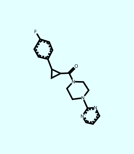 O=C(C1CC1c1ccc(F)cc1)N1CCN(c2ncccn2)CC1